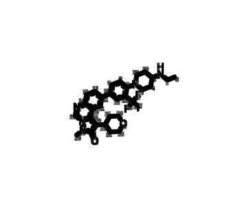 CCNC1CCN(c2ccc(-c3ccc4ncn5c(c(C6CCOCC6)c(=O)n5C)c4c3)cc2C(F)(F)F)CC1